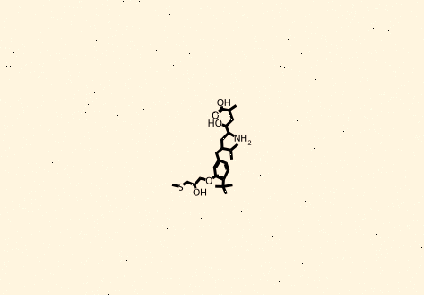 CSCC(O)COc1cc(CC(CC(N)C(O)CC(C)C(=O)O)C(C)C)ccc1C(C)(C)C